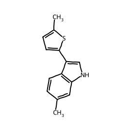 Cc1ccc2c(-c3ccc(C)s3)c[nH]c2c1